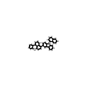 c1ccc2c(c1)Oc1ccc(-c3ccc4c(c3)c3ccccc3n4-c3cccc4ccccc34)c3cccc-2c13